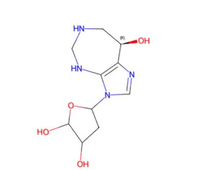 OC1CC(n2cnc3c2NCNC[C@H]3O)OC1O